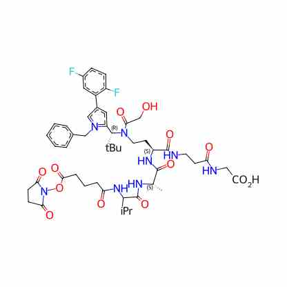 CC(C)C(NC(=O)CCCC(=O)ON1C(=O)CCC1=O)C(=O)N[C@@H](C)C(=O)N[C@@H](CCN(C(=O)CO)[C@@H](c1cc(-c2cc(F)ccc2F)cn1Cc1ccccc1)C(C)(C)C)C(=O)NCCC(=O)NCC(=O)O